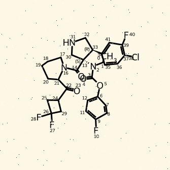 CCN(C(=O)Oc1ccc(F)cc1)[C@]1(C(=O)N2CCCCC2C(=O)C2CC(F)(F)C2)CNC[C@H]1c1ccc(Cl)c(F)c1